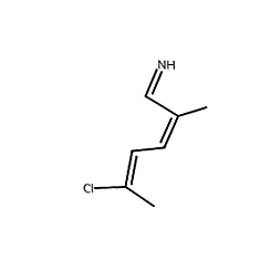 C/C(C=N)=C/C=C(\C)Cl